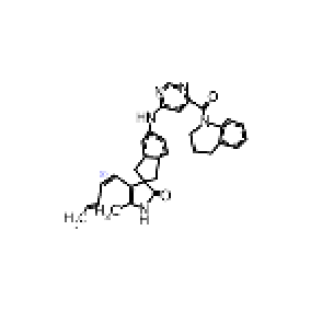 CC=C/C=C\C1=C(C)NC(=O)C12Cc1ccc(Nc3cc(C(=O)N4CCCc5ccccc54)ncn3)cc1C2